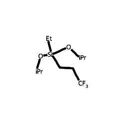 CC[Si](CCC(F)(F)F)(OC(C)C)OC(C)C